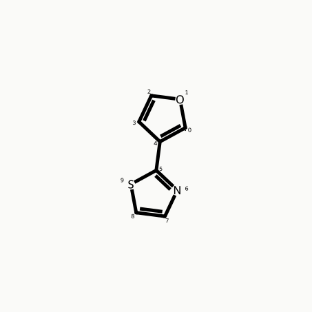 [c]1occc1-c1nccs1